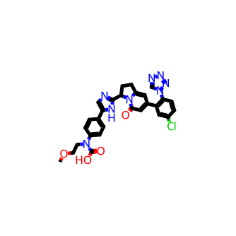 COCCN(C(=O)O)c1ccc(-c2cnc(C3CCc4cc(-c5cc(Cl)ccc5-n5cnnn5)cc(=O)n43)[nH]2)cc1